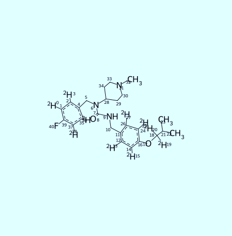 [2H]c1c([2H])c(CN(C(=O)NCc2c([2H])c([2H])c(OC([2H])([2H])C(C)C)c([2H])c2[2H])C2CCN(C)CC2)c([2H])c([2H])c1F